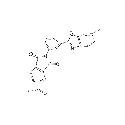 Cc1ccc2nc(-c3cccc(N4C(=O)c5ccc(C(=O)O)cc5C4=O)c3)oc2c1